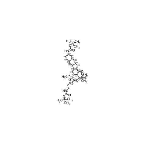 CCC1(OC(=O)CCNC(=O)OC(C)(C)C)C(=O)OC([Si](C)(C)C)c2c1cc1n(c2=O)Cc2cc3cc(NC(=O)OC(C)(C)C)ccc3nc2-1